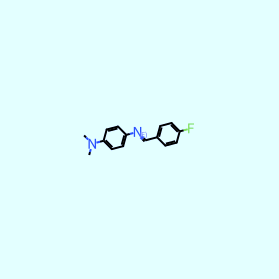 CN(C)c1ccc(/N=C/c2ccc(F)cc2)cc1